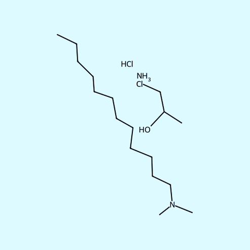 CC(O)CCl.CCCCCCCCCCCCN(C)C.Cl.N